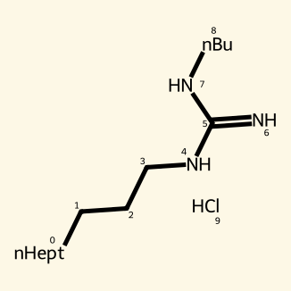 CCCCCCCCCCNC(=N)NCCCC.Cl